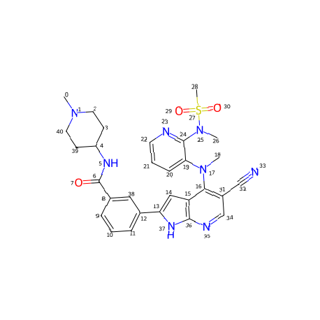 CN1CCC(NC(=O)c2cccc(-c3cc4c(N(C)c5cccnc5N(C)S(C)(=O)=O)c(C#N)cnc4[nH]3)c2)CC1